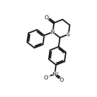 O=C1CCSC(c2ccc([N+](=O)[O-])cc2)N1c1ccccc1